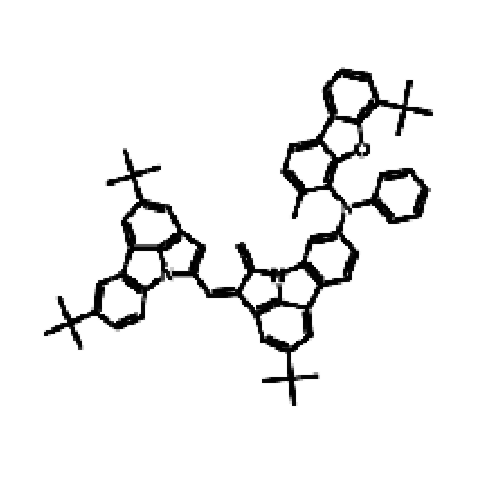 C=c1/c(=C\c2cc3cc(C(C)(C)C)cc4c5cc(C(C)(C)C)ccc5n2c34)c2cc(C(C)(C)C)cc3c4ccc(N(c5ccccc5)c5c(C)ccc6c5oc5c(C(C)(C)C)cccc56)cc4n1c23